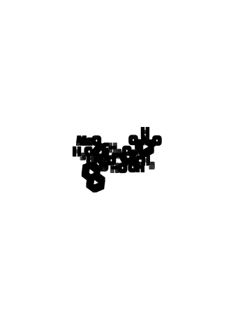 C=C(OC)C(C)NP(=S)(OC[C@H]1O[C@@H](n2ccc(=O)[nH]c2=O)C(C)(O)C1O)Oc1cccc2ccccc12